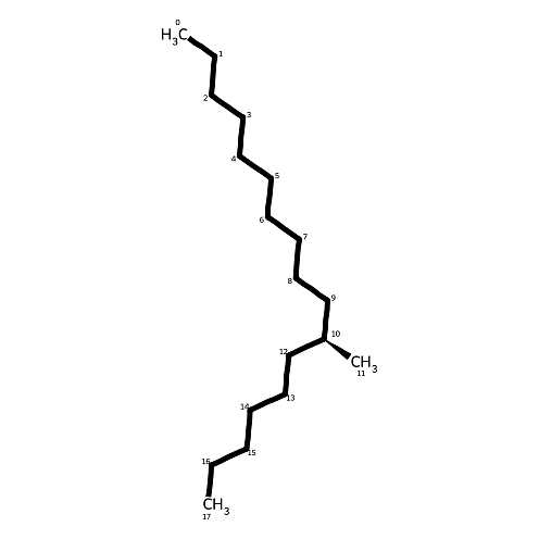 CCCCCCCCCC[C@@H](C)CCCCCC